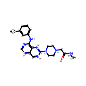 Cc1cccc(Nc2ncnc3cnc(N4CCN(CC(=O)NC(C)C)CC4)nc23)c1